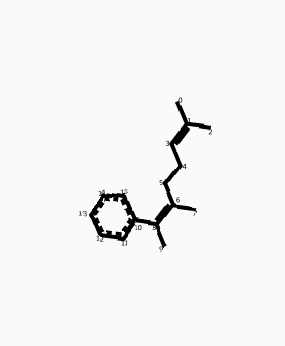 CC(C)=CCC/C(C)=C(/C)c1ccccc1